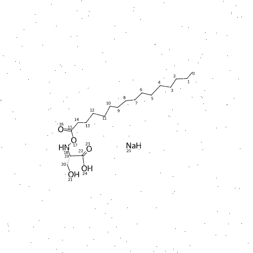 CCCCCCCCCCCCCCCC(=O)ON[C@@H](CO)C(=O)O.[NaH]